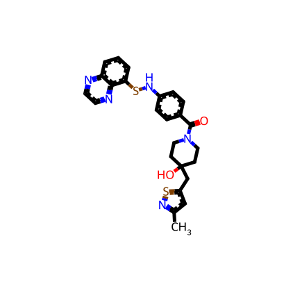 Cc1cc(CC2(O)CCN(C(=O)c3ccc(NSc4cccc5nccnc45)cc3)CC2)sn1